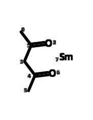 CC(=O)CC(C)=O.[Sm]